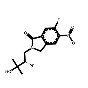 CC(C)(O)[C@@H](F)CN1Cc2cc([N+](=O)[O-])c(F)cc2C1=O